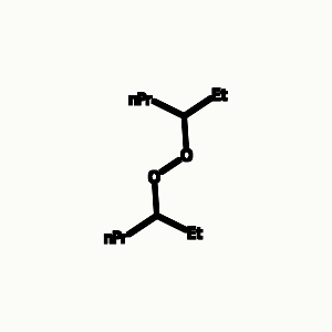 CCCC(CC)OOC(CC)CCC